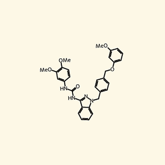 COc1cccc(OCc2ccc(Cn3nc(NC(=O)Nc4ccc(OC)c(OC)c4)c4ccccc43)cc2)c1